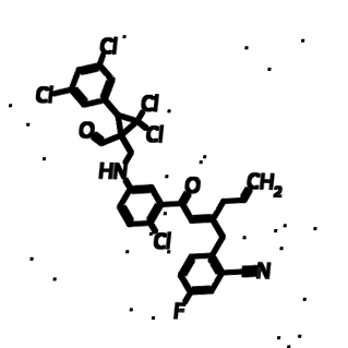 C=CC/C(=C\C(=O)c1cc(NCC2(C=O)C(c3cc(Cl)cc(Cl)c3)C2(Cl)Cl)ccc1Cl)Cc1ccc(F)cc1C#N